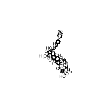 CC(C)C1=C2[C@H]3CC[C@]4(C)[C@@]5(C)CC[C@H](OC(=O)[C@H]6C[C@@H](C(=O)O)C6(C)C)C(C)(C)[C@]5(C)CC[C@@]4(C)[C@]3(C)CC[C@@]2([C@@H](O)CNCc2ccc(N3CCS(=O)(=O)CC3)cc2)CC1=O